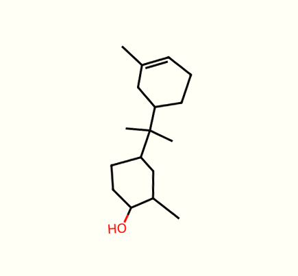 CC1=CCCC(C(C)(C)C2CCC(O)C(C)C2)C1